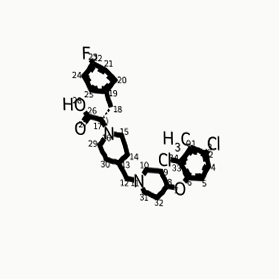 Cc1c(Cl)ccc(OC2CCN(CC3CCN([C@@H](Cc4ccc(F)cc4)C(=O)O)CC3)CC2)c1Cl